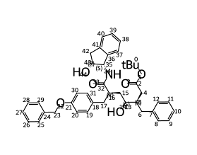 CC(C)(C)OC(=O)C[C@@H](Cc1ccccc1)[C@@H](O)C[C@@H](Cc1ccc(OCc2ccccc2)cc1)C(=O)N[C@H]1c2ccccc2C[C@H]1O